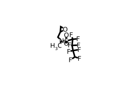 CN(CC1CO1)S(=O)(=O)C(F)(F)C(F)(F)C(F)(F)C(F)F